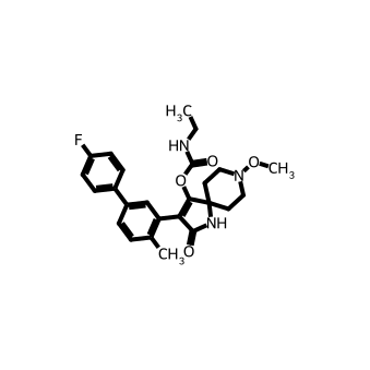 CCNC(=O)OC1=C(c2cc(-c3ccc(F)cc3)ccc2C)C(=O)NC12CCN(OC)CC2